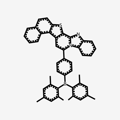 Cc1cc(C)c(B(c2ccc(-c3cc4c(sc5ccc6ccccc6c54)c4nc5ccccc5n34)cc2)c2c(C)cc(C)cc2C)c(C)c1